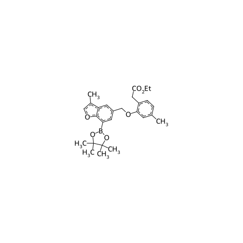 CCOC(=O)Cc1ccc(C)cc1OCc1cc(B2OC(C)(C)C(C)(C)O2)c2occ(C)c2c1